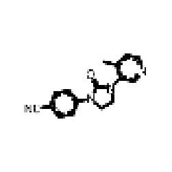 Cc1ccncc1N1CCN(c2ccc(C#N)cc2)C1=O